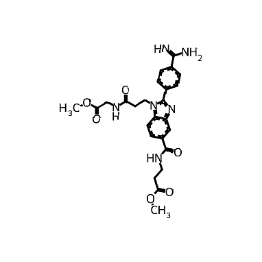 COC(=O)CCNC(=O)c1ccc2c(c1)nc(-c1ccc(C(=N)N)cc1)n2CCC(=O)NCC(=O)OC